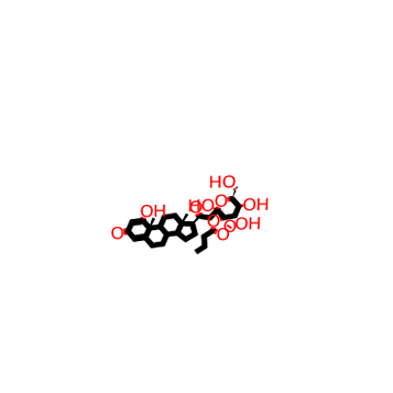 CCCC1OO[C@]2(O1)[C@@H](O)[C@H](O)[C@@H](CO)O[C@]2(O)CC(=O)[C@H]1CCC2C3CCC4=CC(=O)C=C(O)[C@]4(C)C3CC[C@@]21C